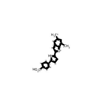 Cc1cc(C)c2oc(-c3ccc(-c4ccc(C(=O)O)cc4)[nH]3)cc2c1